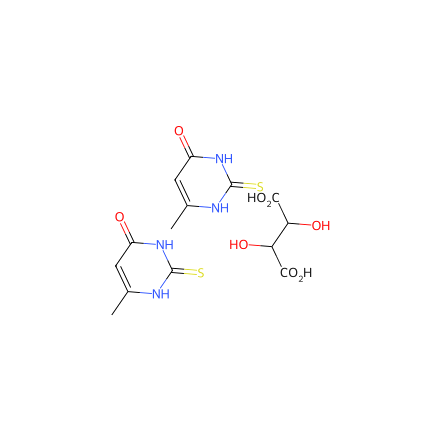 Cc1cc(=O)[nH]c(=S)[nH]1.Cc1cc(=O)[nH]c(=S)[nH]1.O=C(O)C(O)C(O)C(=O)O